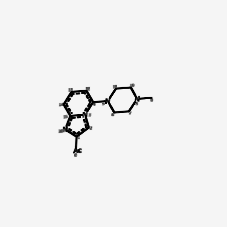 CC(=O)c1cn2c(N3CCN(C)CC3)cccc2n1